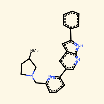 CNC1CCN(Cc2cccc(-c3cnc4[nH]c(-c5ccccc5)cc4c3)n2)C1